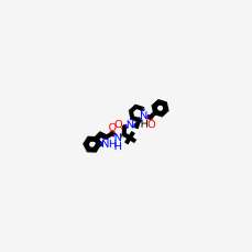 CC(C)(C)[C@H](NC(=O)c1cc2ccccc2[nH]1)C(=O)N1C[C@@H]2C1CCCN2C(=O)c1ccccc1